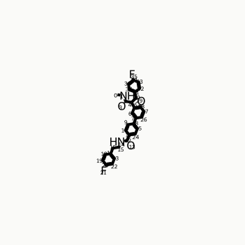 CNC(=O)C1c2cc(-c3ccc(C(=O)NCCc4ccc(F)cc4)cc3)ccc2OC1c1ccc(F)cc1